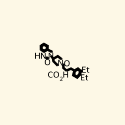 CCc1ccc(CC(CC(=O)N2CCC(N3Cc4ccccc4NC3=O)CC2)C(=O)O)cc1CC